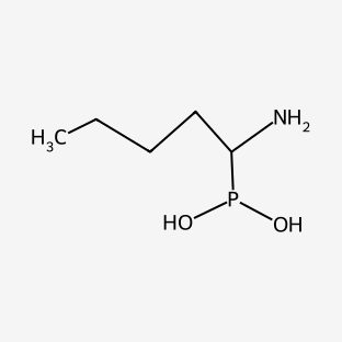 CCCCC(N)P(O)O